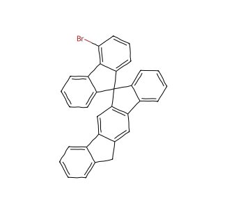 Brc1cccc2c1-c1ccccc1C21c2ccccc2-c2cc3c(cc21)-c1ccccc1C3